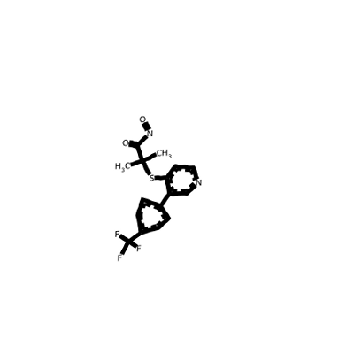 CC(C)(Sc1ccncc1-c1ccc(C(F)(F)F)cc1)C(=O)N=O